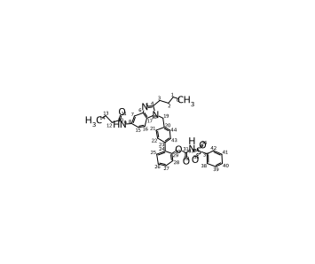 CCCCc1nc2cc(NC(=O)CCC)ccc2n1Cc1ccc(-c2ccccc2OC(=O)NS(=O)(=O)c2ccccc2)cc1